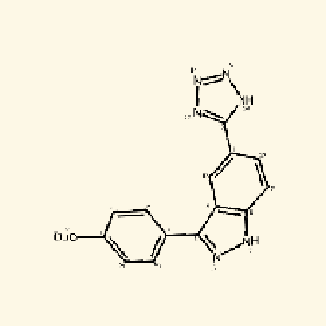 CC(C)COc1ccc(-c2n[nH]c3ccc(-c4nnn[nH]4)cc23)cc1